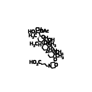 CC(=O)O[C@@H]([C@H]1C[C@@H](C)[C@H]2[C@H](O1)[C@H](O)[C@@]1(C)[C@@H]3CC[C@H]4C(C)(C)[C@@H](O[C@H]5CN(CCCC(=O)O)CCO5)CC[C@@]45C[C@@]35CC[C@]21C)C(C)(C)O